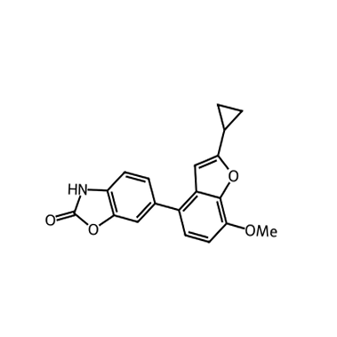 COc1ccc(-c2ccc3[nH]c(=O)oc3c2)c2cc(C3CC3)oc12